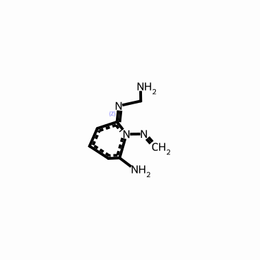 C=Nn1c(N)ccc/c1=N/CN